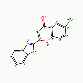 O=c1cc(-c2nc3ccccc3s2)oc2ccc(Br)cc12